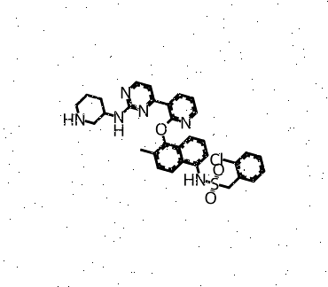 Cc1ccc2c(NS(=O)(=O)Cc3ccccc3Cl)cccc2c1Oc1ncccc1-c1ccnc(NC2CCCNC2)n1